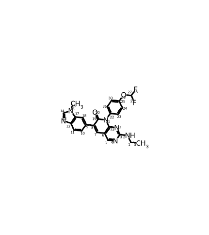 CCNc1ncc2cc(-c3ccc4ncn(C)c4c3)c(=O)n(-c3ccc(OC(F)F)cc3)c2n1